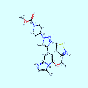 Cc1c(-c2cc(OC(C)c3ccsn3)n3c(C#N)cnc3c2)nnn1C1CCN(C(=O)OC(C)(C)C)CC1